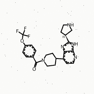 O=C(c1ccc(OC(F)(F)F)cc1)N1CCC(c2ccnc3[nH]c([C@H]4CCNC4)nc23)CC1